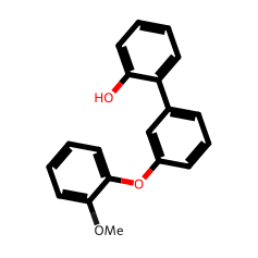 COc1ccccc1Oc1cccc(-c2ccccc2O)c1